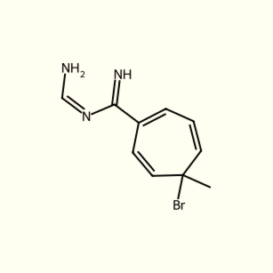 CC1(Br)C=CC=C(C(=N)/N=C\N)C=C1